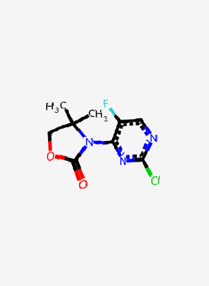 CC1(C)COC(=O)N1c1nc(Cl)ncc1F